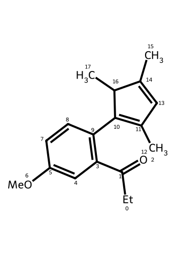 CCC(=O)c1cc(OC)ccc1C1=C(C)C=C(C)C1C